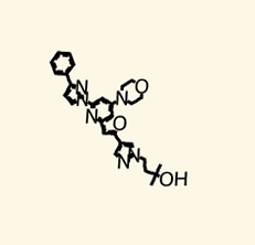 CC(C)(O)CCn1cc(-c2cc3nc(-n4ccc(-c5ccccc5)n4)cc(N4CCOCC4)c3o2)cn1